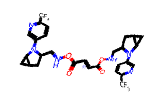 O=C(/C=C/C(=O)ONCC1CC2CC2N1c1ccc(C(F)(F)F)nc1)ONCC1CC2CC2N1c1ccc(C(F)(F)F)nc1